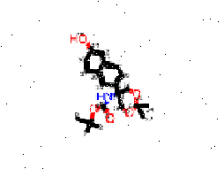 CC(C)(C)OC(=O)NC1(c2ccc3cc(O)ccc3c2)COC(C)(C)OC1